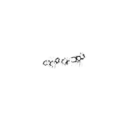 N[C@@H]1c2cccnc2CC12CCN(c1ncc(Sc3cccc(NC(=O)c4c(O)nc5n(c4=O)CCCC5)c3Cl)nc1C(=O)O)CC2